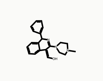 CN1CCN(C2=NC(c3ccccc3)c3ccccc3C2=CO)CC1